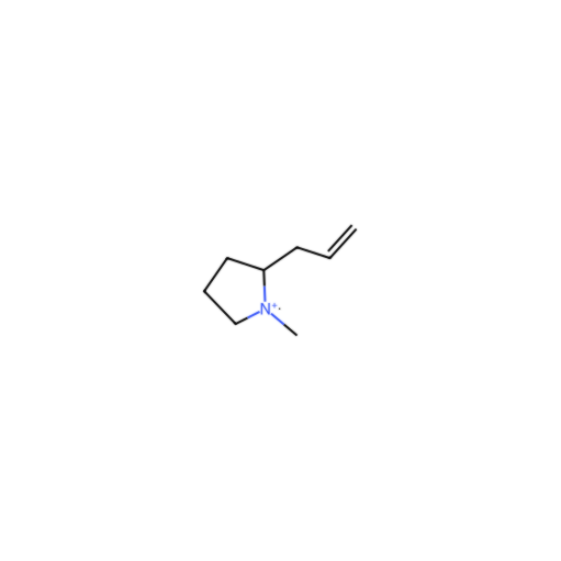 C=CCC1CCC[N+]1C